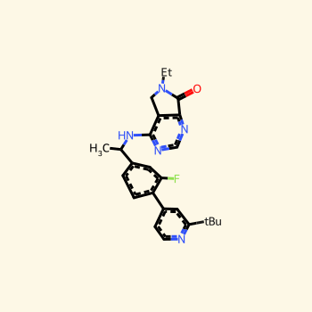 CCN1Cc2c(NC(C)c3ccc(-c4ccnc(C(C)(C)C)c4)c(F)c3)ncnc2C1=O